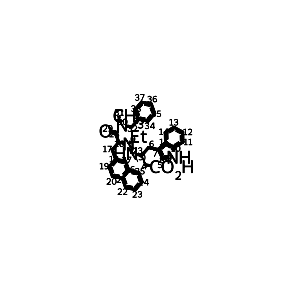 CCN(N[C@H](CC(=O)O)Cc1c[nH]c2ccccc12)C(Cc1ccc2ccccc2c1)C(=O)N(C)Cc1ccccc1